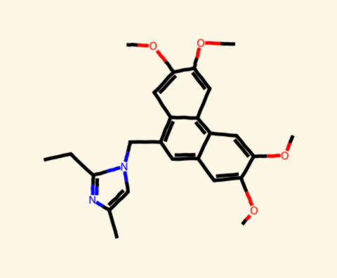 CCc1nc(C)cn1Cc1cc2cc(OC)c(OC)cc2c2cc(OC)c(OC)cc12